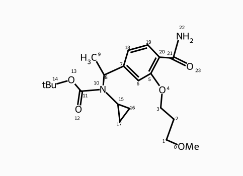 COCCCOc1cc(C(C)N(C(=O)OC(C)(C)C)C2CC2)ccc1C(N)=O